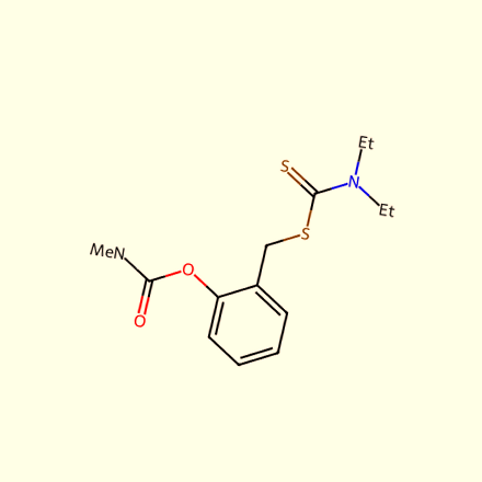 CCN(CC)C(=S)SCc1ccccc1OC(=O)NC